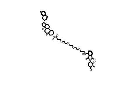 CN1C(=O)CCC(N2C(=O)c3cccc(NCCOCCOCCOCCOCCC(=O)N(C)[C@H]4CC[C@]5(C)C6CC[C@]7(C)[C@@H](C8C=Cc9ccncc9C8)CC[C@H]7C6CC[C@H]5C4)c3C2=O)C1=O